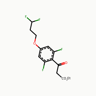 CCOC(=O)CC(=O)c1c(F)cc(OCCC(F)F)cc1F